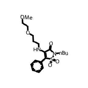 CCCCN1C(=O)C(NCCCOCCOC)=C(c2ccccc2)S1(=O)=O